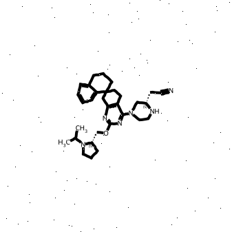 CC(C)N1CCC[C@H]1COc1nc2c(c(N3CCN[C@@H](CC#N)C3)n1)CCC1(CCCc3ccccc31)C2